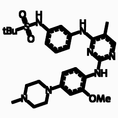 COc1cc(N2CCN(C)CC2)ccc1Nc1ncc(C)c(Nc2cccc(NS(=O)(=O)C(C)(C)C)c2)n1